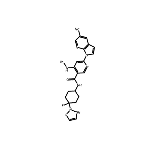 CC(C)Nc1cc(-n2ccc3cc(C#N)cnc32)ncc1C(=O)NC1CCC(F)(N2NC=CS2)CC1